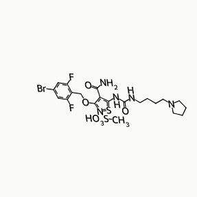 CS(=O)(=O)O.NC(=O)c1c(OCc2c(F)cc(Br)cc2F)nsc1NC(=O)NCCCCN1CCCC1